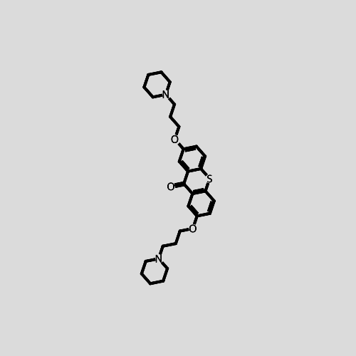 O=c1c2cc(OCCCN3CCCCC3)ccc2sc2ccc(OCCCN3CCCCC3)cc12